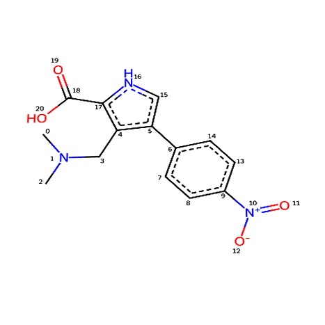 CN(C)Cc1c(-c2ccc([N+](=O)[O-])cc2)c[nH]c1C(=O)O